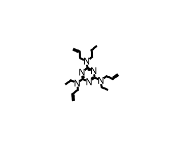 C=CCN(CC)c1nc(N(CC)CC=C)nc(N(CC=C)CCC)n1